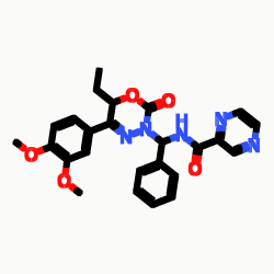 CCC1OC(=O)N(C(NC(=O)c2cnccn2)c2ccccc2)N=C1c1ccc(OC)c(OC)c1